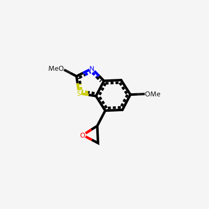 COc1cc(C2CO2)c2sc(OC)nc2c1